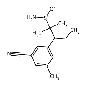 CCC(c1cc(C)cc(C#N)c1)C(C)(C)[S+](N)[O-]